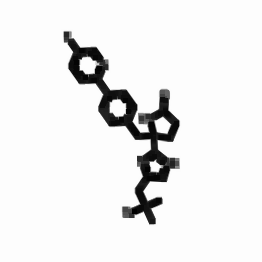 CCC(C)(C)Cc1c[nH]c(C2(Cc3ccc(-c4ccc(F)cn4)cc3)CCC(=O)N2)n1